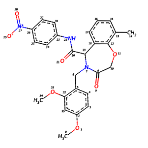 COc1ccc(CN2C(=O)COc3c(C)cccc3C2C(=O)Nc2ccc([N+](=O)[O-])cc2)c(OC)c1